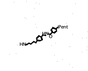 CCCC(C)c1ccc(C(=O)NCCc2ccc(CCCCC=N)cc2)cc1